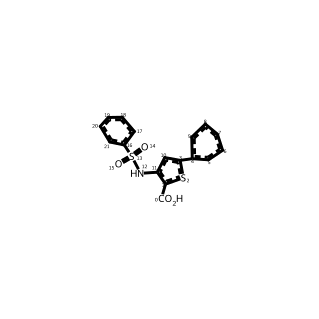 O=C(O)c1sc(-c2ccccc2)cc1NS(=O)(=O)c1ccccc1